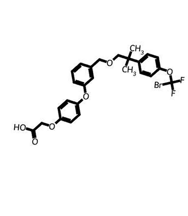 CC(C)(COCc1cccc(Oc2ccc(OCC(=O)O)cc2)c1)c1ccc(OC(F)(F)Br)cc1